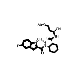 CSCC[C@@H](C#N)NC(=O)[C@@H]1CCCC[C@@H]1NC(=O)c1cc2cc(F)ccc2n1C